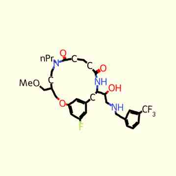 CCCN1CCC(COC)COc2cc(F)cc(c2)CC(C(O)CNCc2cccc(C(F)(F)F)c2)NC(=O)CCCC1=O